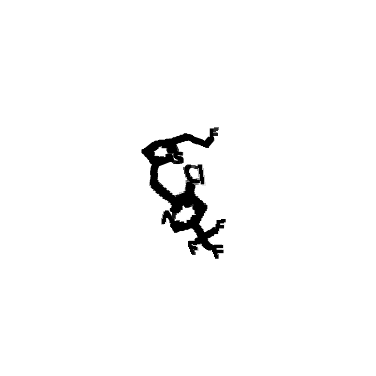 FCCc1ccc(Cc2ncc(C(F)(F)F)cc2Cl)s1